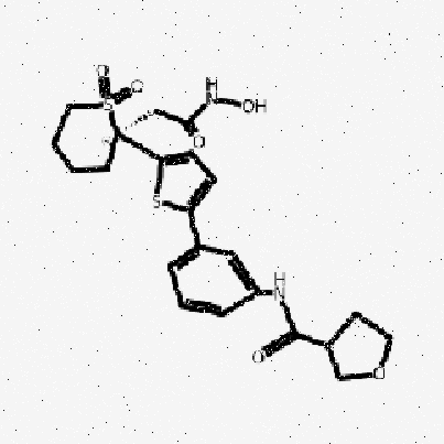 O=C(C[C@]1(c2ccc(-c3cccc(NC(=O)C4CCOC4)c3)s2)CCCCS1(=O)=O)NO